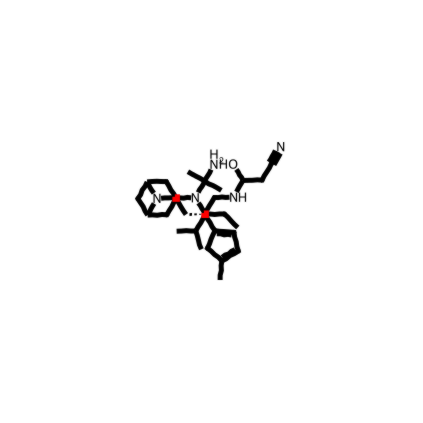 CCC(C(C)C)N(C1CC2CC(C1)N2CC[C@H](CNC(O)CC#N)C1=CC=C(C)C1)C(C)(C)N